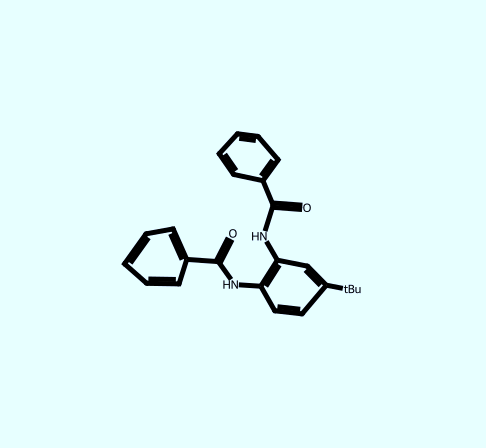 CC(C)(C)c1ccc(NC(=O)c2ccccc2)c(NC(=O)c2ccccc2)c1